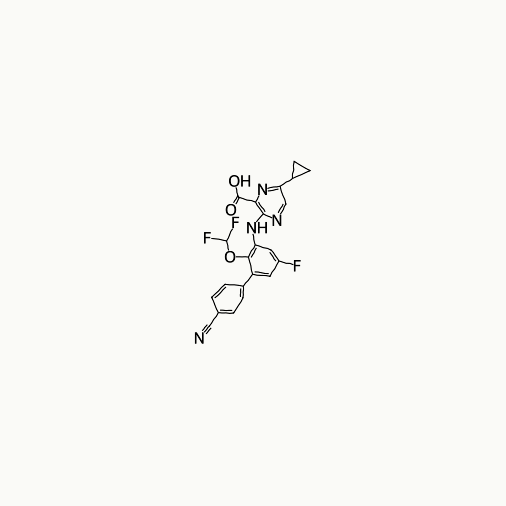 N#Cc1ccc(-c2cc(F)cc(Nc3ncc(C4CC4)nc3C(=O)O)c2OC(F)F)cc1